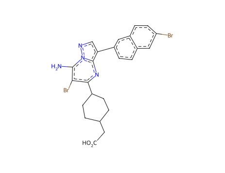 Nc1c(Br)c(C2CCC(CC(=O)O)CC2)nc2c(-c3ccc4cc(Br)ccc4c3)cnn12